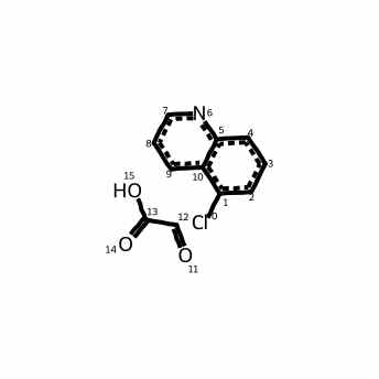 Clc1cccc2ncccc12.O=CC(=O)O